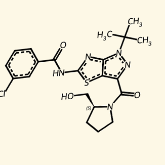 CC(C)(C)n1nc(C(=O)N2CCC[C@H]2CO)c2sc(NC(=O)c3cccc(Cl)c3)nc21